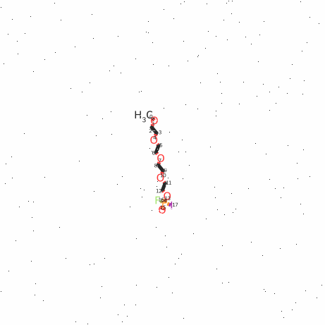 COCCOCCOCCOCCOP(=O)(F)I